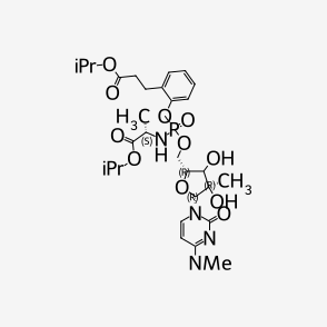 CNc1ccn([C@@H]2O[C@H](COP(=O)(N[C@@H](C)C(=O)OC(C)C)Oc3ccccc3CCC(=O)OC(C)C)C(O)[C@@]2(C)O)c(=O)n1